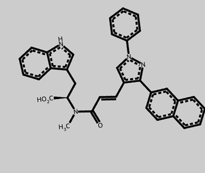 CN(C(=O)/C=C/c1cn(-c2ccccc2)nc1-c1ccc2ccccc2c1)[C@H](Cc1c[nH]c2ccccc12)C(=O)O